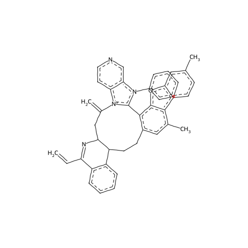 C=CC1=NC2CC(=C)[n+]3c(n(-c4ccccc4)c4cnccc43)-c3c(cc(C)c4c3oc3cc(C)ccc34)CCC2c2ccccc21